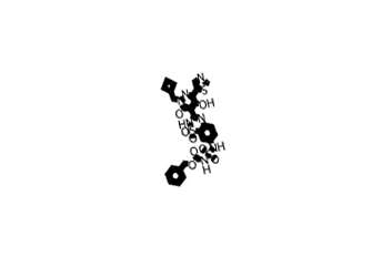 O=C(NS(=O)(=O)Nc1ccc2c(c1)S(=O)(=O)NC(c1c(O)c(-c3cncs3)nn(CC3CCC3)c1=O)=N2)OCc1ccccc1